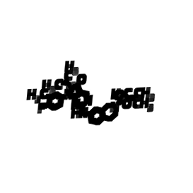 Cc1cc(-n2c3nc(Nc4ccc5c(c4)CN(C(=O)OC(C)(C)C)CC5)ncc3c(=O)n2C(C)C)ccc1F